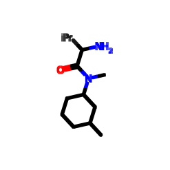 CC1CCCC(N(C)C(=O)C(N)C(C)C)C1